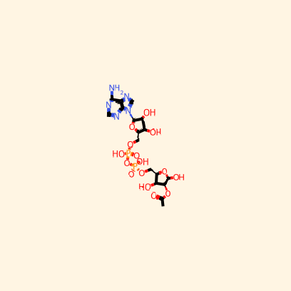 CC(=O)O[C@@H]1C(O)O[C@H](COP(=O)(O)OP(=O)(O)OC[C@H]2O[C@@H](n3cnc4c(N)ncnc43)C(O)C2O)C1O